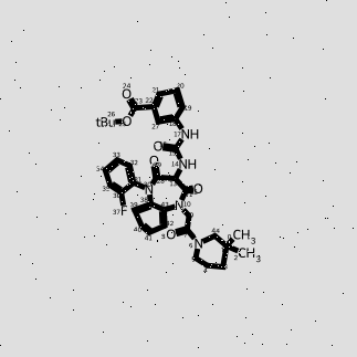 CC1(C)CCCN(C(=O)CN2C(=O)C(NC(=O)Nc3cccc(C(=O)OC(C)(C)C)c3)C(=O)N(c3ccccc3F)c3ccccc32)C1